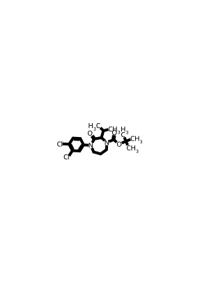 CC(C)C1C(=O)N(c2ccc(Cl)c(Cl)c2)CCCN1C(=O)OC(C)(C)C